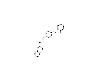 Cc1cccc(C)c1S(=O)(=O)c1ccc(CNC(=O)c2cnc3[nH]ncc3c2)cc1